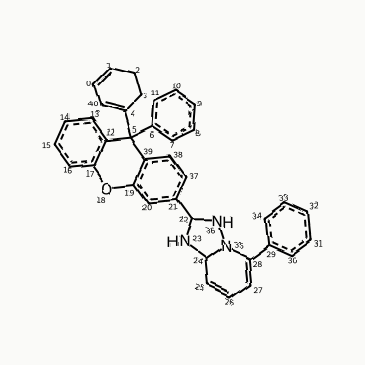 C1=CCCC(C2(c3ccccc3)c3ccccc3Oc3cc(C4NC5C=CC=C(c6ccccc6)N5N4)ccc32)=C1